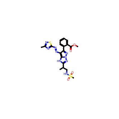 COC(=O)c1ccccc1-c1nn2nc(C(C)CNS(C)(=O)=O)[nH]c2c1/N=N/c1nc(C)ns1